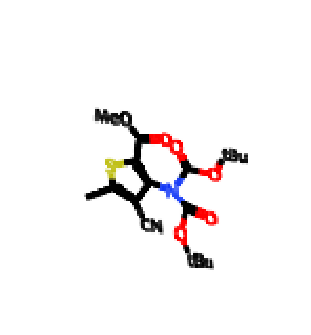 COC(=O)c1sc(C)c(C#N)c1N(C(=O)OC(C)(C)C)C(=O)OC(C)(C)C